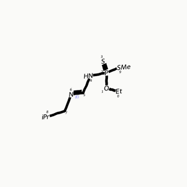 CCOP(=S)(N/C=N/CC(C)C)SC